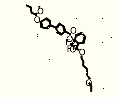 CCCC(OC)Oc1ccc(-c2ccc(C(=O)OC3(C(F)(F)F)C=CC=CC3C(=O)OCCCCCCOCC)cc2)cc1